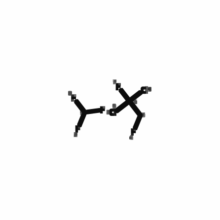 FC(F)F.FCC(F)(Cl)Cl